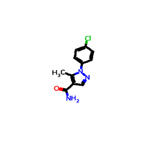 Cc1c(C(N)=O)cnn1-c1ccc(Cl)cc1